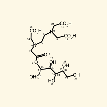 O=C[C@H](OC(=O)CN(CCN(CC(=O)O)CC(=O)O)CC(=O)O)[C@@H](O)[C@H](O)[C@H](O)CO